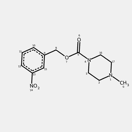 CN1CCN(C(=O)OCc2cccc([N+](=O)[O-])c2)CC1